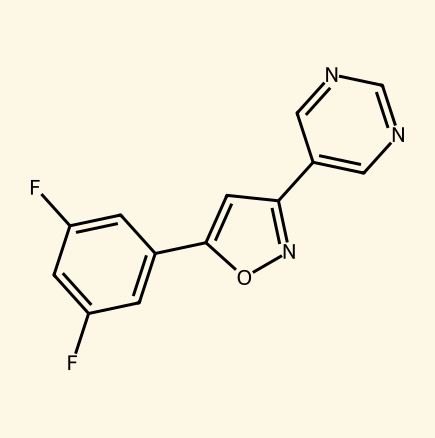 Fc1cc(F)cc(-c2cc(-c3cncnc3)no2)c1